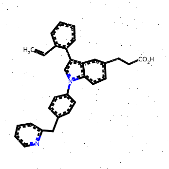 C=Cc1ccccc1-c1cn(-c2ccc(Cc3ccccn3)cc2)c2ccc(CCC(=O)O)cc12